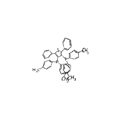 Cc1ccc(P(c2ccc(C)cc2)c2c(-c3ccccc3)sc(-c3ccccc3)c2P(c2ccc(C)cc2)c2ccc(C)cc2)cc1